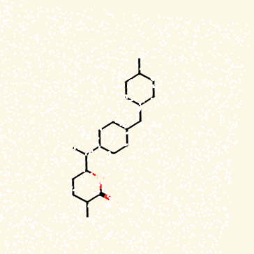 CC1CCC(CC2CCC(C(C)C3CCC(C)C(=O)O3)CC2)CC1